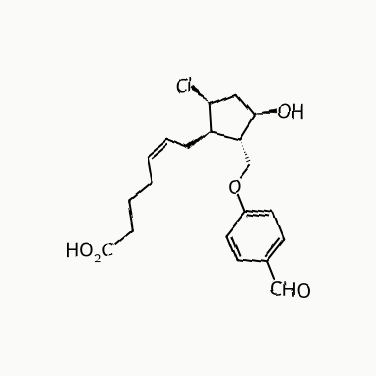 O=Cc1ccc(OC[C@@H]2[C@@H](C/C=C\CCCC(=O)O)[C@@H](Cl)C[C@H]2O)cc1